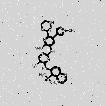 COc1nc(C2CNCCO2)c(-c2cnn(C)c2)cc1Nc1ncc(C)c(Nc2ccc3nccnc3c2P(C)(C)=O)n1